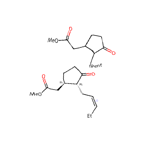 CC/C=C\C[C@H]1C(=O)CC[C@@H]1CC(=O)OC.CCCCCC1C(=O)CCC1CC(=O)OC